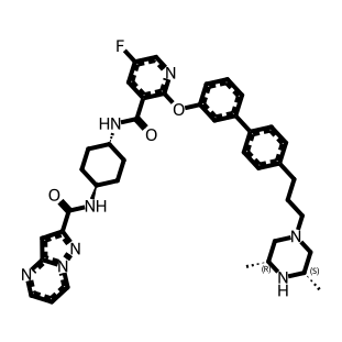 C[C@@H]1CN(CCCc2ccc(-c3cccc(Oc4ncc(F)cc4C(=O)N[C@H]4CC[C@H](NC(=O)c5cc6ncccn6n5)CC4)c3)cc2)C[C@H](C)N1